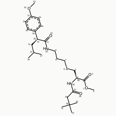 COC(=O)[C@H](CSCCCNC(=O)[C@@H](CC(C)C)c1ccc(OC)cc1)NC(=O)CC(C)(C)C